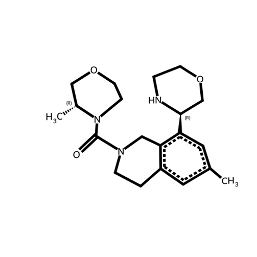 Cc1cc2c(c([C@@H]3COCCN3)c1)CN(C(=O)N1CCOC[C@H]1C)CC2